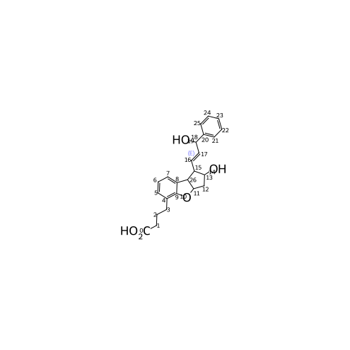 O=C(O)CCCc1cccc2c1OC1CC(O)C(/C=C/C(O)c3ccccc3)C21